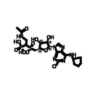 CC(=O)NCC(P(=O)(O)O)S(=O)(=O)C[C@H]1O[C@@H](n2cnc3c(NC4CCCC4)nc(Cl)nc32)[C@H](O)[C@@H]1O